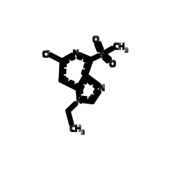 CCn1cnc2c(S(C)(=O)=O)nc(Cl)cc21